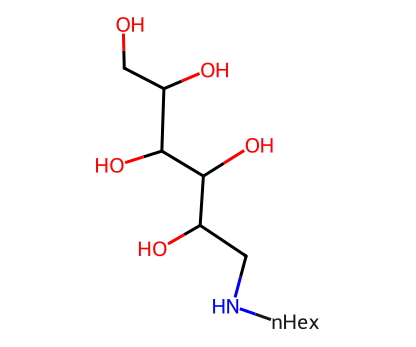 CCCCCCNCC(O)C(O)C(O)C(O)CO